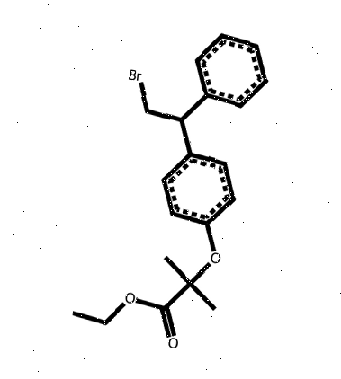 CCOC(=O)C(C)(C)Oc1ccc(C(CBr)c2ccccc2)cc1